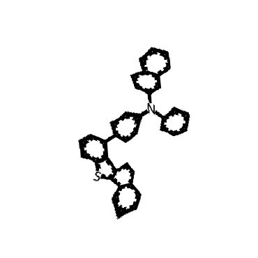 c1ccc(N(c2ccc(-c3cccc4sc5c6ccccc6ccc5c34)cc2)c2ccc3ccccc3c2)cc1